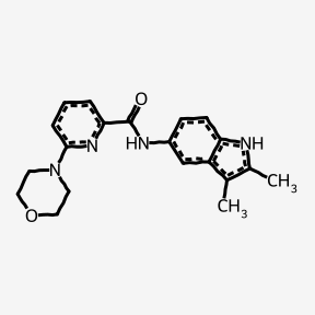 Cc1[nH]c2ccc(NC(=O)c3cccc(N4CCOCC4)n3)cc2c1C